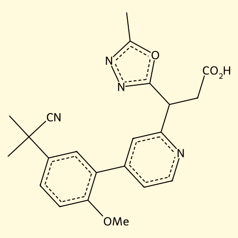 COc1ccc(C(C)(C)C#N)cc1-c1ccnc(C(CC(=O)O)c2nnc(C)o2)c1